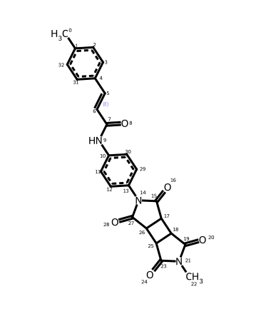 Cc1ccc(/C=C/C(=O)Nc2ccc(N3C(=O)C4C5C(=O)N(C)C(=O)C5C4C3=O)cc2)cc1